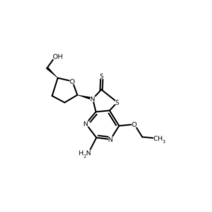 CCOc1nc(N)nc2c1sc(=S)n2[C@H]1CC[C@@H](CO)O1